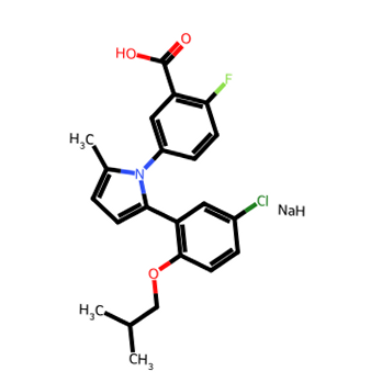 Cc1ccc(-c2cc(Cl)ccc2OCC(C)C)n1-c1ccc(F)c(C(=O)O)c1.[NaH]